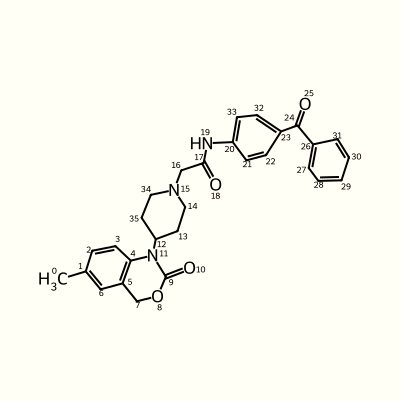 Cc1ccc2c(c1)COC(=O)N2C1CCN(CC(=O)Nc2ccc(C(=O)c3ccccc3)cc2)CC1